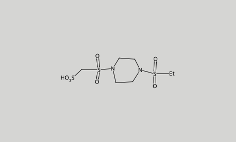 CCS(=O)(=O)N1CCN(S(=O)(=O)CS(=O)(=O)O)CC1